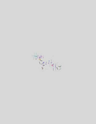 CC(=O)c1cn(CC(=O)N2C[C@H](F)C[C@H]2C(=O)NCc2cccc(Cl)c2F)c2cc(S(=O)(=O)NC(F)(F)C(F)(F)F)ccc12